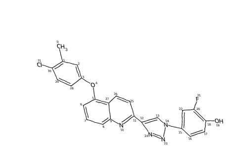 Cc1cc(Oc2cccc3nc(-c4cn(-c5ccc(O)c(F)c5)nn4)ccc23)ccc1Cl